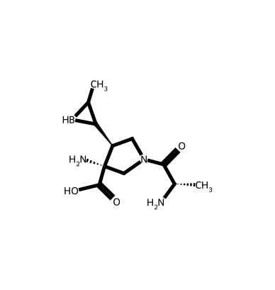 CC1BC1[C@H]1CN(C(=O)[C@H](C)N)C[C@@]1(N)C(=O)O